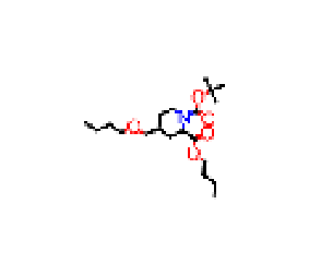 CCCCOCC1CCN(C(=O)OC(C)(C)C)C(C(=O)OCCCC)C1